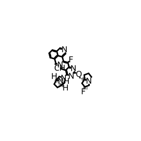 C#Cc1cccc2cncc(-c3ncc4c(N5C[C@H]6CC[C@@H](C5)N6)nc(OC[C@]56CCCN5C[C@@H](F)C6)nc4c3F)c12